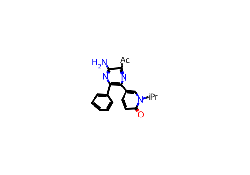 CC(=O)c1nc(-c2ccc(=O)n(C(C)C)c2)c(-c2ccccc2)nc1N